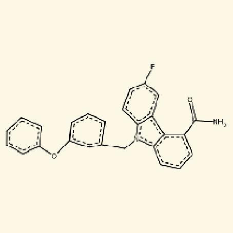 NC(=O)c1cccc2c1c1[c]c(F)ccc1n2Cc1cccc(Oc2ccccc2)c1